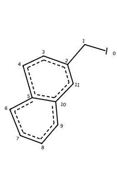 ICc1ccc2ccccc2c1